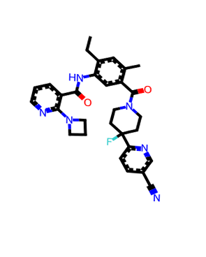 CCc1cc(C)c(C(=O)N2CCC(F)(c3ccc(C#N)cn3)CC2)cc1NC(=O)c1cccnc1N1CCC1